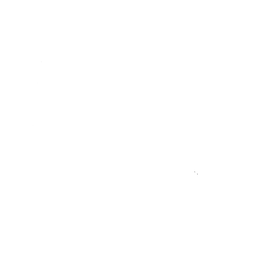 c1ccc(N(c2ccccc2)c2ccc3c4c(cccc24)Oc2cc4c(cc2-3)Oc2cccc3c2B4c2c(ccc4ccccc24)O3)cc1